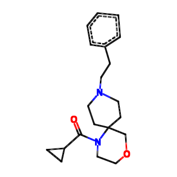 O=C(C1CC1)N1CCOCC12CCN(CCc1ccccc1)CC2